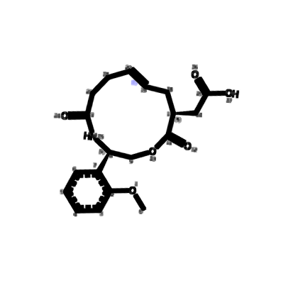 COc1ccccc1[C@@H]1COC(=O)[C@H](CC(=O)O)C/C=C/CCC(=O)N1